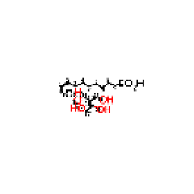 CCCCCCCC/C=C\CCCCCCCC(=O)O.OCCCO.OCCO